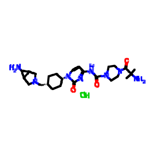 CC(C)(N)C(=O)N1CCN(C(=O)Nc2ccn([C@H]3CC[C@@H](CN4CC5C(N)C5C4)CC3)c(=O)n2)CC1.Cl